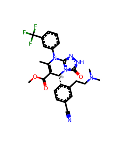 COC(=O)C1=C(C)N(c2cccc(C(F)(F)F)c2)c2n[nH]c(=O)n2[C@@H]1c1ccc(C#N)cc1CCN(C)C